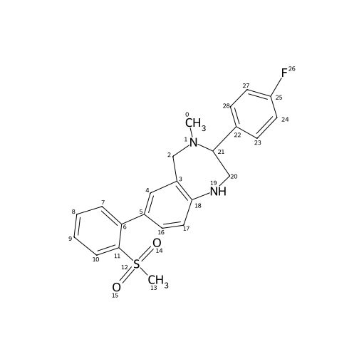 CN1Cc2cc(-c3ccccc3S(C)(=O)=O)ccc2NCC1c1ccc(F)cc1